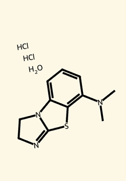 CN(C)c1cccc2c1SC1=NCCN12.Cl.Cl.O